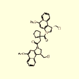 CC(=O)Oc1cc2c(c3ccccc13)C(CCl)CN2C(=O)CC1(C(=O)N2C[C@@H](CCl)c3c2cc(OC(C)=O)c2ccccc32)CCCC1